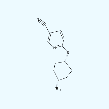 N#Cc1ccc(S[C@H]2CC[C@@H](N)CC2)nc1